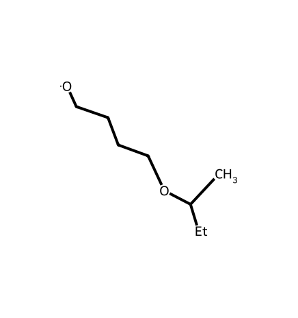 CCC(C)OCCCC[O]